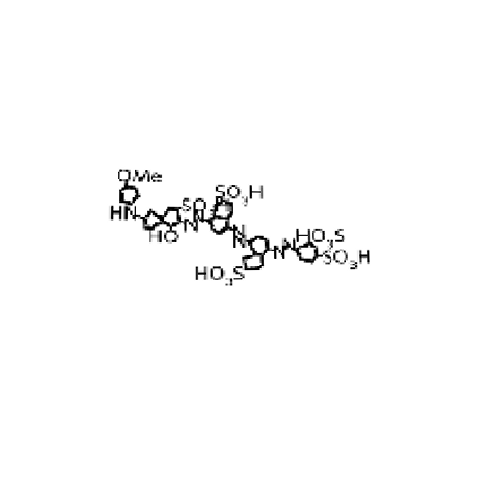 COc1ccc(Nc2ccc3c(O)c(N=Nc4ccc(N=Nc5ccc(N=Nc6ccc(S(=O)(=O)O)cc6S(=O)(=O)O)c6ccc(S(=O)(=O)O)cc56)c5ccc(S(=O)(=O)O)cc45)c(S(=O)(=O)O)cc3c2)cc1